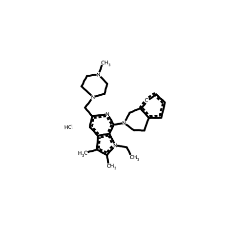 CCn1c(C)c(C)c2cc(CN3CCN(C)CC3)nc(N3CCc4ccccc4C3)c21.Cl